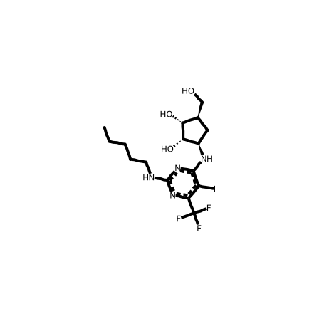 CCCCCNc1nc(N[C@@H]2C[C@H](CO)[C@@H](O)[C@H]2O)c(I)c(C(F)(F)F)n1